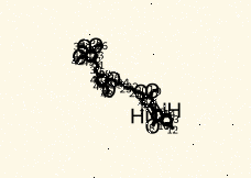 COc1cc(C2NC(=O)c3cc(C)ccc3N2)ccc1OCCCCCOc1cc(C=Cc2cc(OC)c(OC)c(OC)c2)ccc1OC